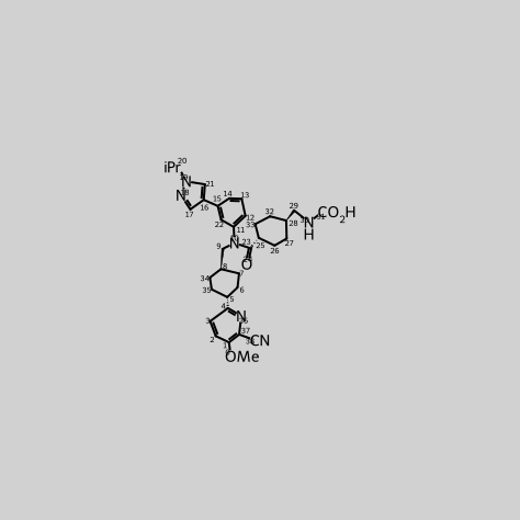 COc1ccc([C@H]2CC[C@H](CN(c3cccc(-c4cnn(C(C)C)c4)c3)C(=O)[C@H]3CC[C@H](CNC(=O)O)CC3)CC2)nc1C#N